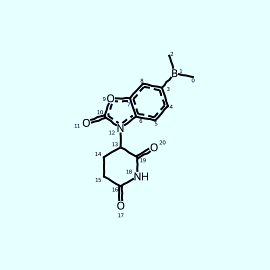 CB(C)c1ccc2c(c1)oc(=O)n2C1CCC(=O)NC1=O